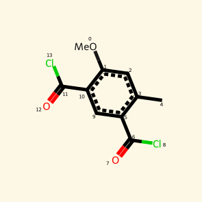 COc1cc(C)c(C(=O)Cl)cc1C(=O)Cl